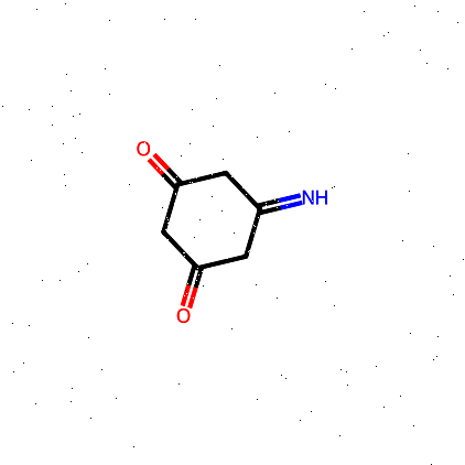 N=C1CC(=O)CC(=O)C1